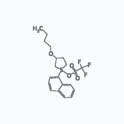 CCCCOC1CCS(OS(=O)(=O)C(F)(F)F)(c2cccc3ccccc23)C1